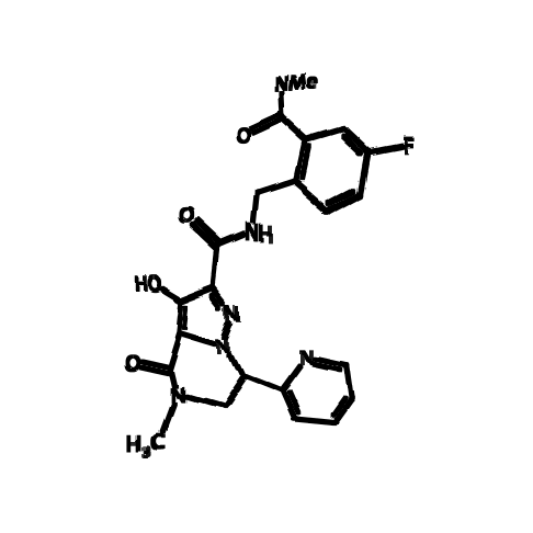 CNC(=O)c1cc(F)ccc1CNC(=O)c1nn2c(c1O)C(=O)N(C)CC2c1ccccn1